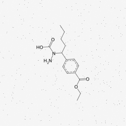 CCCCC(c1ccc(C(=O)OCC)cc1)N(N)C(=O)O